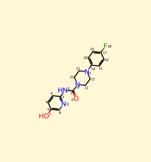 O=C(Nc1ccc(O)cn1)N1CCN(c2ccc(F)cc2)CC1